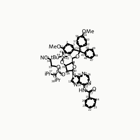 COc1ccc(C(OC[C@H]2O[C@@H](n3cnc4c(NC(=O)c5ccccc5)ncnc43)[C@H](OP(OCCC#N)N(C(C)C)C(C)C)C2O[Si](C)(C)C(C)(C)C)(c2ccccc2)c2ccc(OC)cc2)cc1